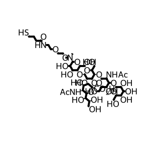 CC(=O)NC1C(O[C@@H]2OC(CO)[C@H](O)C(O)C2O)C(O)C(CO)O[C@H]1O[C@H]1C(CO)O[C@@H](O[C@@H]2C(CO)O[C@@H](N(C)OCCOCCNC(=O)CCCS)C(O)C2O)C(O)C1O[C@]1(C(=O)O)CC(O)[C@@H](NC(C)=O)C([C@H](O)[C@H](O)CO)O1